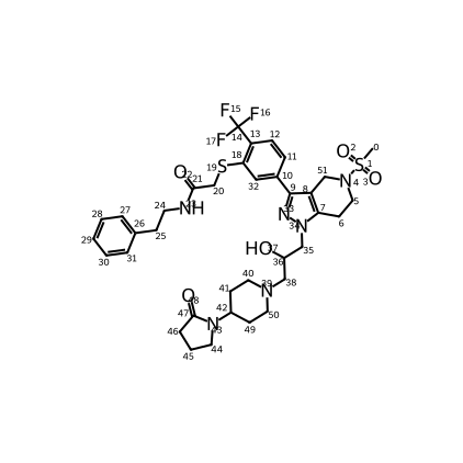 CS(=O)(=O)N1CCc2c(c(-c3ccc(C(F)(F)F)c(SCC(=O)NCCc4ccccc4)c3)nn2CC(O)CN2CCC(N3CCCC3=O)CC2)C1